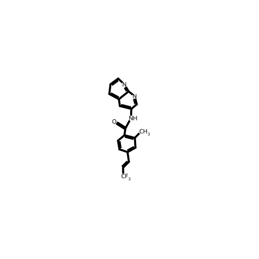 Cc1cc(C=CC(F)(F)F)ccc1C(=O)Nc1cnc2ncccc2c1